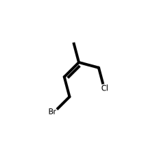 CC(=CCBr)CCl